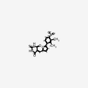 Cc1c(-c2ccc(C=C3C(=O)NC(=S)NC3=O)o2)ccc([N+](=O)[O-])c1C